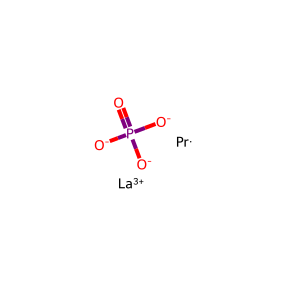 O=P([O-])([O-])[O-].[La+3].[Pr]